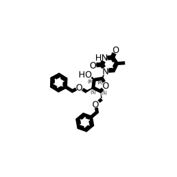 Cc1cn([C@@H]2O[C@H](COCc3ccccc3)[C@@H](COCc3ccccc3)[C@H]2O)c(=O)[nH]c1=O